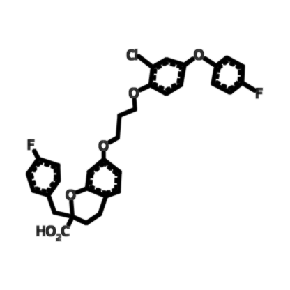 O=C(O)C1(Cc2ccc(F)cc2)CCc2ccc(OCCCOc3ccc(Oc4ccc(F)cc4)cc3Cl)cc2O1